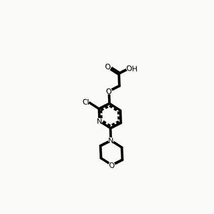 O=C(O)COc1ccc(N2CCOCC2)nc1Cl